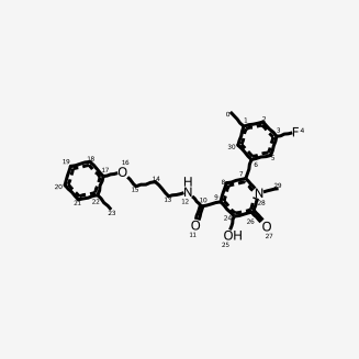 Cc1cc(F)cc(-c2cc(C(=O)NCCCOc3ccccc3C)c(O)c(=O)n2C)c1